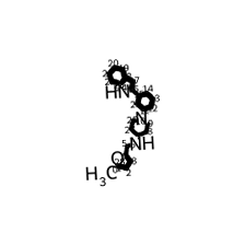 Cc1ccc(CNC2CCN(c3cccc(-c4cc5ccccc5[nH]4)c3)CC2)o1